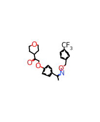 CC(=NOCc1ccc(C(F)(F)F)cc1)c1ccc(OCC(=O)C2CCOCC2)cc1